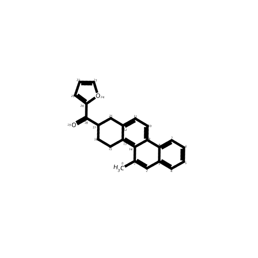 Cc1cc2ccccc2c2ccc3c(c12)CCC(C(=O)c1ccco1)C3